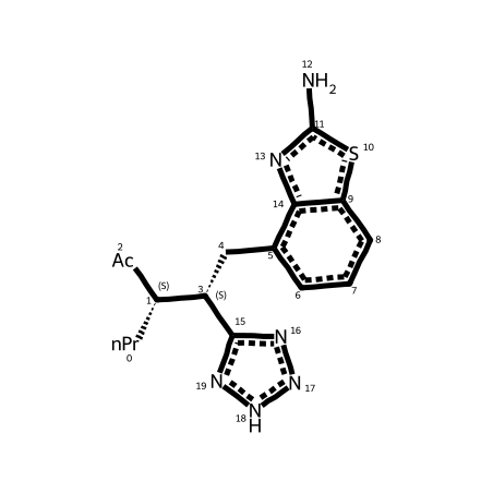 CCC[C@H](C(C)=O)[C@H](Cc1cccc2sc(N)nc12)c1nn[nH]n1